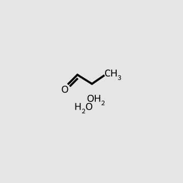 CCC=O.O.O